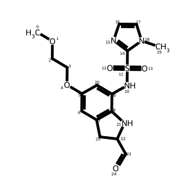 COCCOc1cc2c(c(NS(=O)(=O)c3nccn3C)c1)NC(C=O)C2